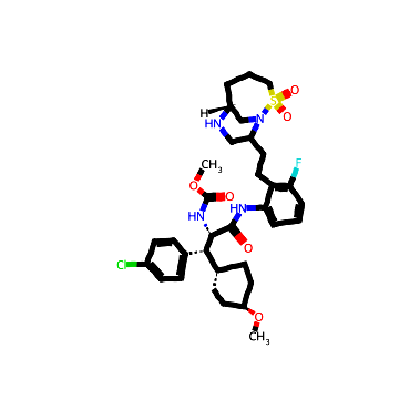 COC(=O)N[C@H](C(=O)Nc1cccc(F)c1CCC1CN[C@@H]2CCCS(=O)(=O)N1C2)[C@@H](c1ccc(Cl)cc1)[C@H]1CC[C@H](OC)CC1